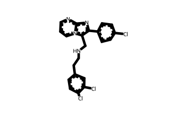 Clc1ccc(-c2nc3ncccn3c2CNCCc2ccc(Cl)c(Cl)c2)cc1